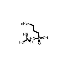 CCCCCCCCCP(=O)(O)O.O=[PH](O)O